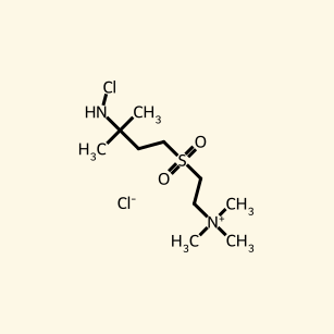 CC(C)(CCS(=O)(=O)CC[N+](C)(C)C)NCl.[Cl-]